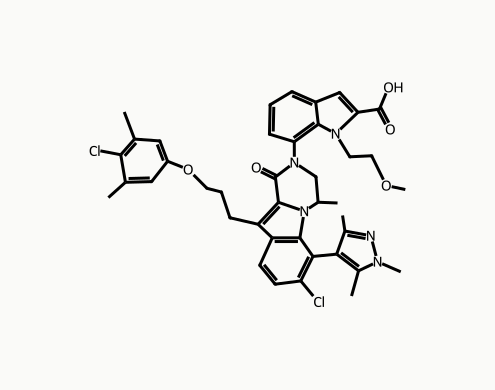 COCCn1c(C(=O)O)cc2cccc(N3CC(C)n4c(c(CCCOc5cc(C)c(Cl)c(C)c5)c5ccc(Cl)c(-c6c(C)nn(C)c6C)c54)C3=O)c21